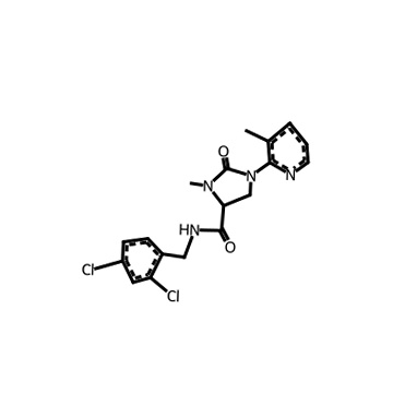 Cc1cccnc1N1CC(C(=O)NCc2ccc(Cl)cc2Cl)N(C)C1=O